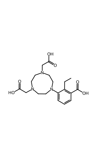 CCc1c(C(=O)O)cccc1N1CCN(CC(=O)O)CCN(CC(=O)O)CC1